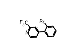 FC(F)(F)c1[c]c(-c2ccccc2Br)ccn1